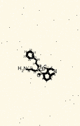 Cc1cncc2cccc(S(=O)(=O)N(C=CCN)CCCc3ccccc3)c12